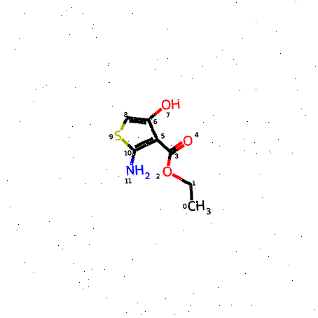 CCOC(=O)c1c(O)csc1N